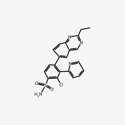 CCc1ncc2cc(-c3ccc(S(N)(=O)=O)c(Cl)c3-c3ccccn3)ccc2n1